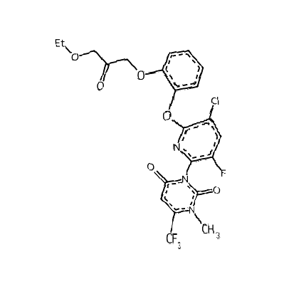 CCOCC(=O)COc1ccccc1Oc1nc(-n2c(=O)cc(C(F)(F)F)n(C)c2=O)c(F)cc1Cl